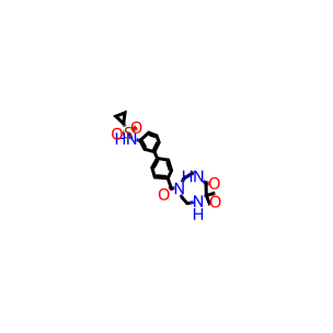 O=C(c1ccc(-c2cccc(NS(=O)(=O)C3CC3)c2)cc1)N1CCNC(=O)C2(COC2)NCC1